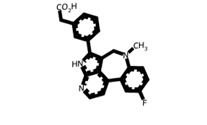 CN1Cc2c(-c3cccc(CC(=O)O)c3)[nH]c3nccc(c23)-c2cc(F)ccc21